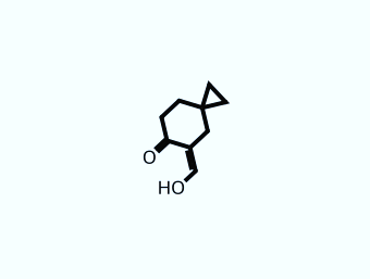 O=C1CCC2(CC2)C/C1=C/O